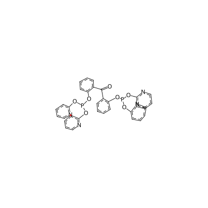 O=C(c1ccccc1OP(Oc1ccccn1)Oc1ccccn1)c1ccccc1OP(Oc1ccccn1)Oc1ccccn1